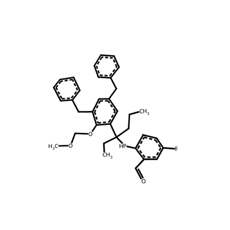 CCCC(CC)(Pc1ccc(F)cc1C=O)c1cc(Cc2ccccc2)cc(Cc2ccccc2)c1OCOC